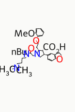 CCCCN(CCCCN(C)C)C(=O)CN1C[C@H](c2ccc3c(c2)CCO3)[C@@H](C(=O)O)[C@@H]1CCOc1ccccc1OC